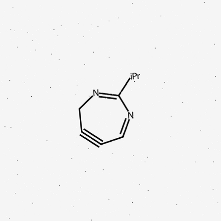 CC(C)C1=NCC#CC=N1